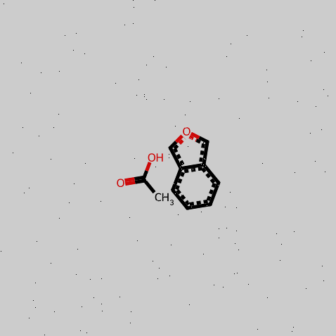 CC(=O)O.c1ccc2cocc2c1